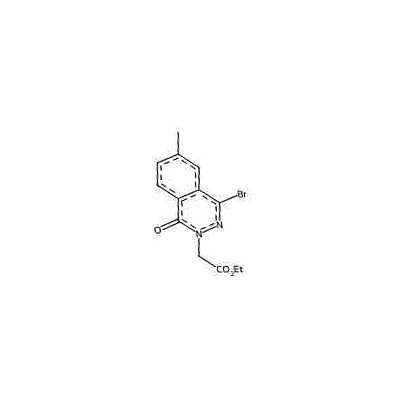 CCOC(=O)Cn1nc(Br)c2cc(C)ccc2c1=O